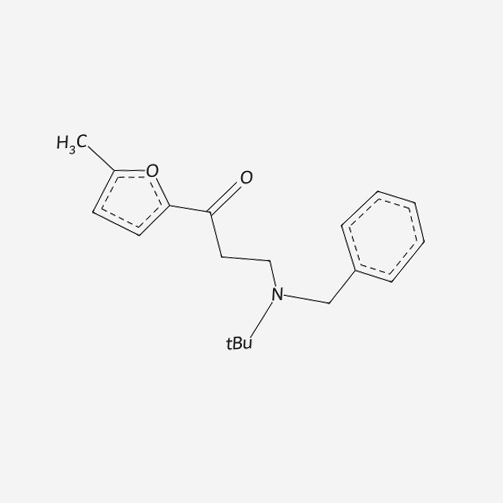 Cc1ccc(C(=O)CCN(Cc2ccccc2)C(C)(C)C)o1